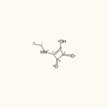 [CH2]CNc1c(O)c(=O)c1=O